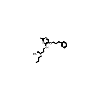 CCCC[C@@H](CO)CCNc1nc(C)ncc1OCCCc1ccccc1